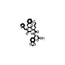 CCCC[C@@H](C(=O)N[C@@H](CC(=O)O)c1ccc2c(c1)OCO2)N1CC(=O)N(Cc2cccs2)[C@@H](Cc2ccccc2)C1=O